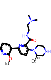 CCOc1ncccc1-c1ccc(N2CCNC[C@H]2CC)c(C(=O)NCCN(C)C)n1